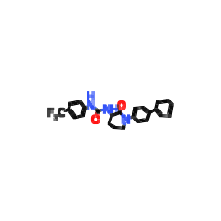 O=C(Nc1ccc(C(F)(F)F)cc1)NC1CCCN(c2ccc(-c3ccccc3)cc2)C1=O